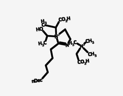 CCCCCCCCCCCCCCC1=NCC[N+]1(C(C)O)C(C)C(=O)O.C[N+](C)(C)CC(=O)O